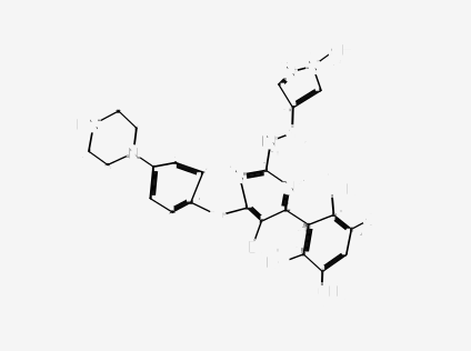 CCc1c(Oc2ccc(N3CCNCC3)cc2)nc(NSc2cnn(C)c2)nc1-c1c(C)c(C)cc(C)c1C